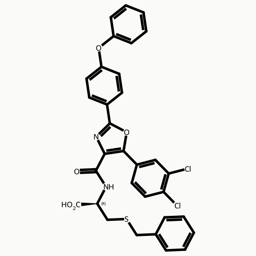 O=C(N[C@@H](CSCc1ccccc1)C(=O)O)c1nc(-c2ccc(Oc3ccccc3)cc2)oc1-c1ccc(Cl)c(Cl)c1